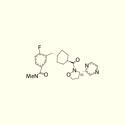 CNC(=O)c1ccc(F)c(C[C@H]2CC[C@H](C(=O)N3OCC[C@H]3c3cnccn3)CC2)c1